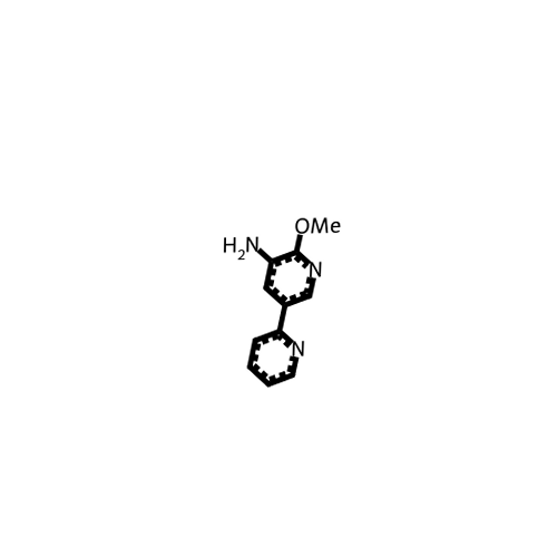 COc1ncc(-c2ccccn2)cc1N